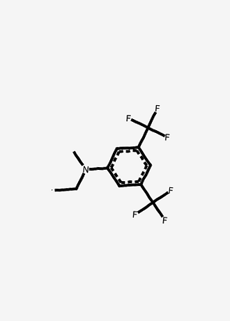 [CH2]CN(C)c1cc(C(F)(F)F)cc(C(F)(F)F)c1